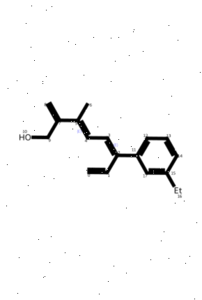 C=C/C(=C\C=C(/C)C(=C)CO)c1cccc(CC)c1